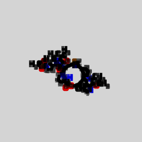 CCn1c(-c2cccnc2[C@H](C)OC)c2c3cc(ccc31)-c1csc(n1)C[C@H](NC(=O)C(C(C)C)N(C)C(=O)[C@H]1CCN(S(C)(=O)=O)C1)C(=O)N1CCC[C@H](N1)C(=O)OCC(C)(C)C2